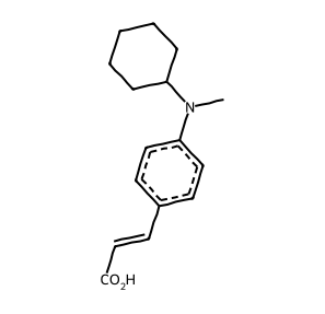 CN(c1ccc(C=CC(=O)O)cc1)C1CCCCC1